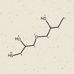 CCC(O)COCC(O)CS